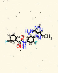 Cc1nn(-c2ccc(NC(=O)[C@H](O)c3cccc(F)c3)cc2F)c2c(N)ncnc12